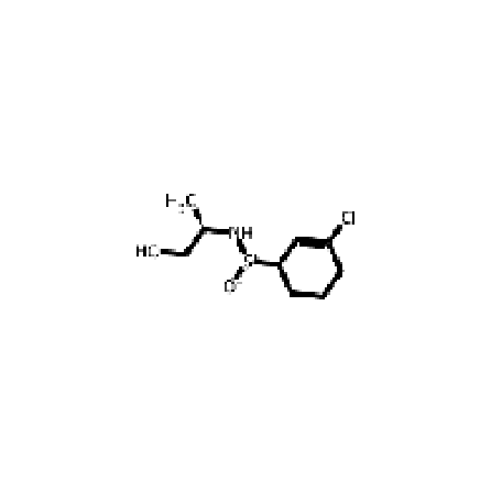 C[C@H](CO)N[S+]([O-])C1C=C(Cl)CCC1